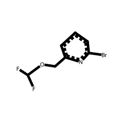 FC(F)OCc1cccc(Br)n1